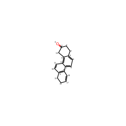 O=C1CCc2ccc3c4c(ccc3c2C1)CCC=C4